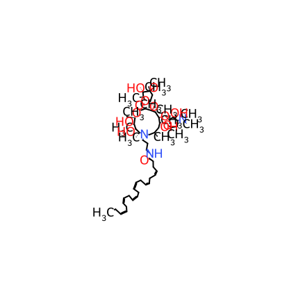 CC/C=C\C/C=C\C/C=C\C/C=C\C/C=C\C/C=C\CCC(=O)NCCCN1C[C@H](C)C[C@@](C)(O)[C@H](O[C@@H]2O[C@H](C)C[C@H](N(C)C)[C@H]2O)[C@@H](C)[C@H](O[C@H]2C[C@@](C)(OC)[C@@H](O)[C@H](C)O2)[C@@H](C)C(=O)O[C@H](CC)[C@@](C)(O)[C@H](O)[C@H]1C